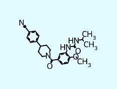 COc1ccc(C(=O)N2CCC(c3ccc(C#N)cc3)CC2)cc1NC(=O)NC(C)C